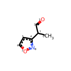 CC([C]=O)c1ccon1